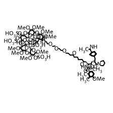 COc1cc(C)c(S(=O)(=O)N[C@@H](CC(=O)CCCCC(=O)CCCOCCOCCOCCO[C@H]2[C@H](OC)[C@@H](OC)[C@@H](O[C@H]3[C@H](OC)[C@@H](OC)[C@H](O[C@H]4[C@H](OS(=O)(=O)O)[C@@H](OS(=O)(=O)O)[C@@H](O[C@H]5[C@H](OC)[C@@H](OC)[C@H](O[C@H]6[C@H](OC)[C@@H](OS(=O)(=O)O)[C@@H](OC)O[C@@H]6COS(=O)(=O)O)O[C@H]5C(=O)O)O[C@@H]4COS(=O)(=O)O)O[C@@H]3C(=O)O)O[C@@H]2COS(=O)(=O)O)C(=O)C[C@H](Cc2ccc(C(C)=N)cc2)C(=O)N2CCCCC2)c(C)c1C